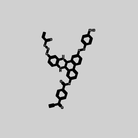 C#CC(=O)c1ccc(C(=O)Oc2ccc3c(c2)C2Nc4ccc(OOOC(=O)C=C)cc4NC2c2cc(OOc4ccc(C=O)cc4)ccc2-3)cc1